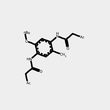 CCCCOc1cc(NC(=O)CC(C)=O)c(C)cc1NC(=O)CC(C)=O